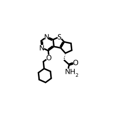 NC(=O)C[C@H]1CCc2sc3ncnc(OCC4CCCCC4)c3c21